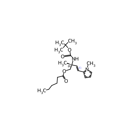 CCCCCC(=O)OC[C@@](C)(/C=C/c1cccn1C)NC(=O)OC(C)(C)C